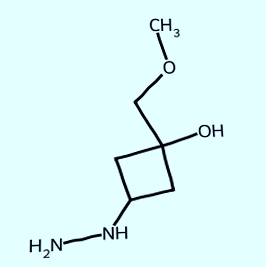 COCC1(O)CC(NN)C1